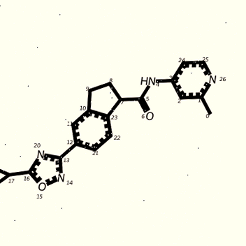 Cc1cc(NC(=O)C2CCc3cc(-c4noc(C5CC5)n4)ccc32)ccn1